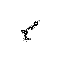 Cc1oc(-c2ccc(C(F)(F)F)cc2)nc1CCOc1ccc(/C=C2\SC(=O)NC2=O)c2sccc12